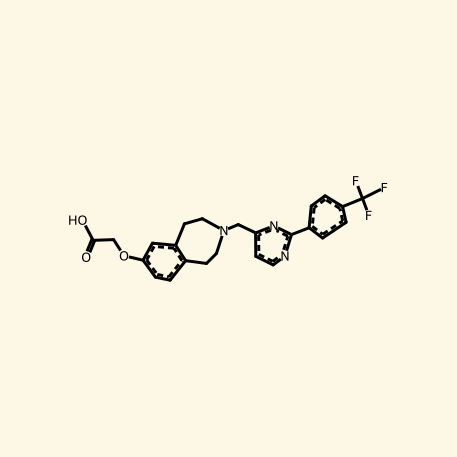 O=C(O)COc1ccc2c(c1)CCN(Cc1ccnc(-c3ccc(C(F)(F)F)cc3)n1)CC2